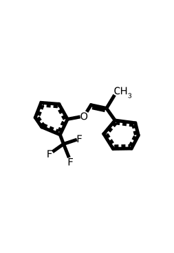 C/C(=C/Oc1ccccc1C(F)(F)F)c1ccccc1